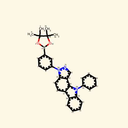 CC1(C)OB(c2cccc(-n3ncc4c3ccc3c5ccccc5n(-c5ccccc5)c34)c2)OC1(C)C